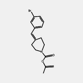 C=C(C)OC(=O)N1CCC(=Cc2cccc(Br)c2)CC1